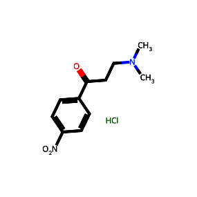 CN(C)CCC(=O)c1ccc([N+](=O)[O-])cc1.Cl